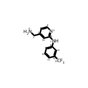 NCc1ccnc(Nc2cccc(C(F)(F)F)c2)c1